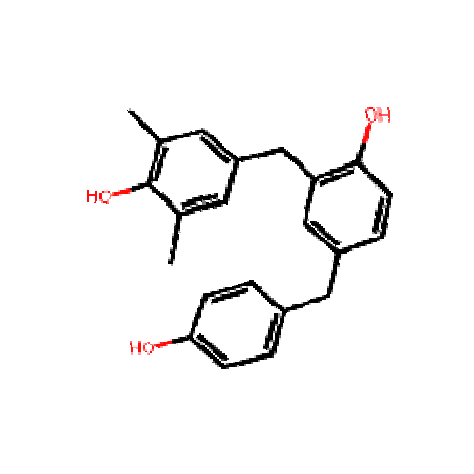 Cc1cc(Cc2cc(Cc3ccc(O)cc3)ccc2O)cc(C)c1O